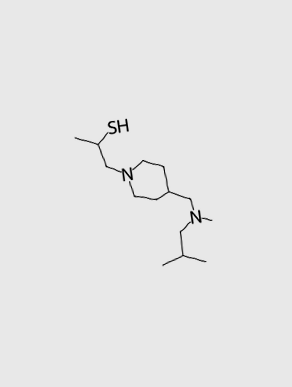 CC(C)CN(C)CC1CCN(CC(C)S)CC1